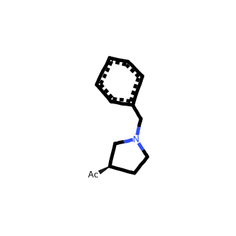 CC(=O)[C@@H]1CCN(Cc2ccccc2)C1